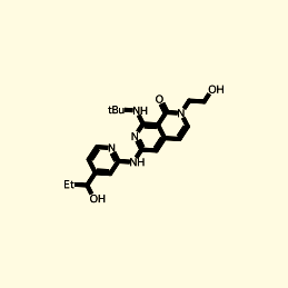 CCC(O)c1ccnc(Nc2cc3ccn(CCO)c(=O)c3c(NC(C)(C)C)n2)c1